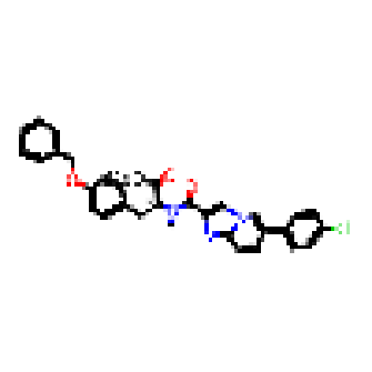 COC(=O)[C@H](Cc1ccc(OCc2ccccc2)cc1)N(C)C(=O)c1cn2cc(-c3ccc(Cl)cc3)ccc2n1